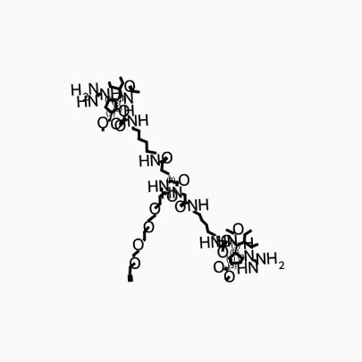 C#CCOCCOCCOCCOCCC(=O)N[C@H](CCC(=O)NCCCCCCNC(=O)O[C@H]1[C@@H]([C@@H](NC(C)=O)C(CC)CC)[C@H](NC(=N)N)C[C@@H]1C(=O)OC)C(=O)NCC(=O)NCCCCCCNC(=O)O[C@H]1[C@@H]([C@@H](NC(C)=O)C(CC)CC)[C@H](NC(=N)N)C[C@@H]1C(=O)OC